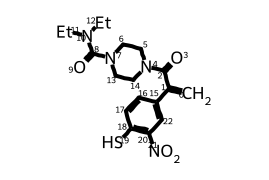 C=C(C(=O)N1CCN(C(=O)N(CC)CC)CC1)c1ccc(S)c([N+](=O)[O-])c1